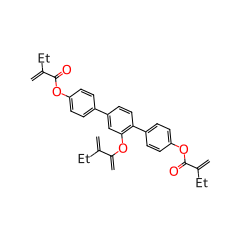 C=C(CC)C(=C)Oc1cc(-c2ccc(OC(=O)C(=C)CC)cc2)ccc1-c1ccc(OC(=O)C(=C)CC)cc1